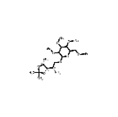 CCCCOCC1OC(OC[C@H](N)[C@@H]2OC(C)(C)O[C@@H]2CCCC)C(OCCCC)C(OCCCC)C1OCCCC